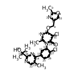 Cc1nc(COc2nc(C)n(-c3cc(-c4nc(C(C)(C)O)ncc4C)ccc3Cl)c(=O)c2Cl)co1